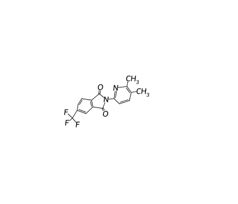 Cc1ccc(N2C(=O)c3ccc(C(F)(F)F)cc3C2=O)nc1C